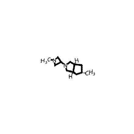 C[C@H]1C[C@@H]2CN(C3CN(C)C3)C[C@@H]2C1